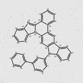 c1ccc(-c2cncc(-n3c4ccccc4c4cc5c6ccccc6c6nc7ccccc7n6c5cc43)c2)cc1